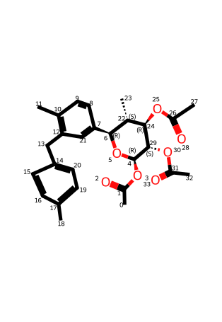 CC(=O)O[C@H]1O[C@@H](c2ccc(C)c(Cc3ccc(C)cc3)c2)[C@H](C)[C@@H](OC(C)=O)[C@@H]1OC(C)=O